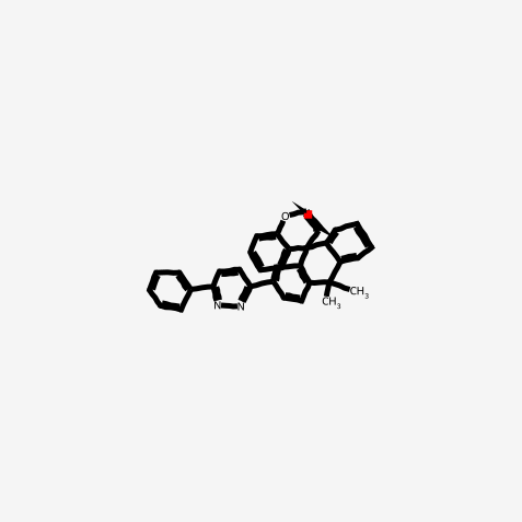 CC1(C)c2ccccc2C2(c3ccccc3Oc3ccccc32)c2cc(-c3ccc(-c4ccccc4)nn3)ccc21